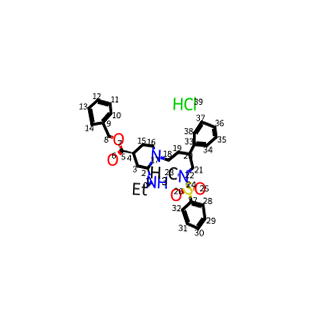 CCN[C@H]1C[C@@H](C(=O)OCc2ccccc2)CCN1CCC(CN(C)S(=O)(=O)c1ccccc1)c1ccccc1.Cl